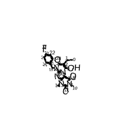 CCc1c(O)n2c3c(=O)n(C)c(=O)n(C)c3nc2n(Cc2ccc(F)cc2)c1=O